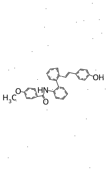 COc1ccc(C(=O)Nc2ccccc2-c2ccccc2C=Cc2ccc(O)cc2)cc1